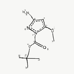 COc1cc(N)nn1C(=O)OC(C)(C)C